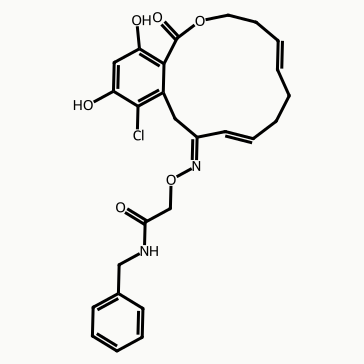 O=C(CO/N=C1/C=C/CC/C=C/CCOC(=O)c2c(O)cc(O)c(Cl)c2C1)NCc1ccccc1